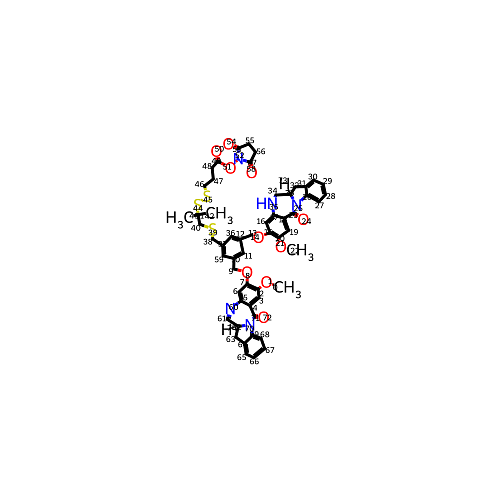 COc1cc2c(cc1OCc1cc(COc3cc4c(cc3OC)C(=O)N3c5ccccc5C[C@H]3CN4)cc(CSCC(C)(C)SSCCCC(=O)ON3C(=O)CCC3=O)c1)N=C[C@@H]1Cc3ccccc3N1C2=O